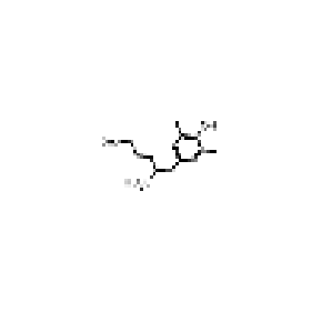 CCCCCCCCCCCCCC(Cc1cc(C)c(O)c(C)c1)C(=O)O